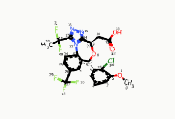 COc1cccc([C@H]2O[C@H](CC(=O)O)c3nnc(C(C)(F)F)n3-c3ccc(C(F)(F)F)cc32)c1Cl